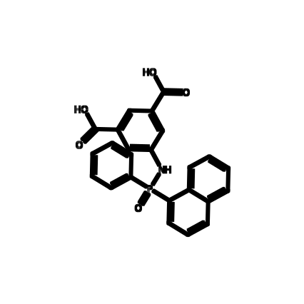 O=C(O)c1cc(NP(=O)(c2ccccc2)c2cccc3ccccc23)cc(C(=O)O)c1